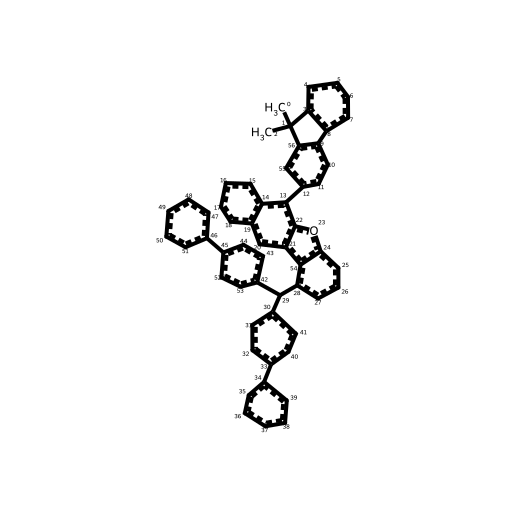 CC1(C)c2ccccc2-c2ccc(-c3c4ccccc4cc4c3oc3cccc(C(c5ccc(-c6ccccc6)cc5)c5ccc(-c6ccccc6)cc5)c34)cc21